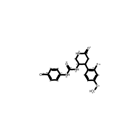 COc1ccc(C2CC(=O)NCC2NC(=O)Nc2ccc(Cl)cc2)c(F)c1